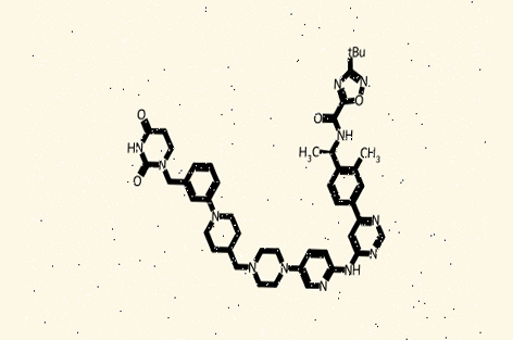 Cc1cc(-c2cc(Nc3ccc(N4CCN(CC5CCN(c6cccc(CN7CCC(=O)NC7=O)c6)CC5)CC4)cn3)ncn2)ccc1[C@@H](C)NC(=O)c1nc(C(C)(C)C)no1